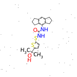 CC(C)(O)c1ccc(SNC(=O)Nc2c3c(cc4c2CCC4)CCC3)s1